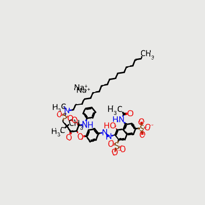 CCCCCCCCCCCCCCCCCCN(C)S(=O)(=O)CC(C)(C)C(=O)C(Oc1ccc(N=Nc2c(S(=O)(=O)[O-])cc3cc(S(=O)(=O)[O-])cc(NC(C)=O)c3c2O)cc1)C(=O)Nc1ccccc1.[Na+].[Na+]